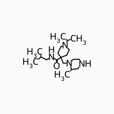 CC(C)CNC(=O)C1(CN2CCNCC2C)CCN(C(C)C)CC1